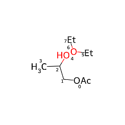 CC(=O)OCC(C)O.CCOCC